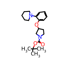 CC(C)(C)OC(=O)N1CCC(Oc2ccccc2N2CCCCC2)C1